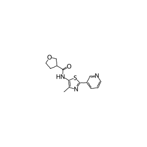 Cc1nc(-c2cccnc2)sc1NC(=O)C1CCOC1